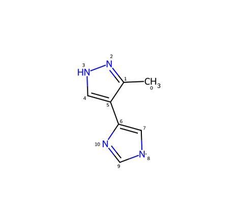 Cc1n[nH]cc1C1=C[N]C=N1